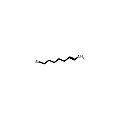 [CH2]/C=C/CCCCCCCC[CH2]